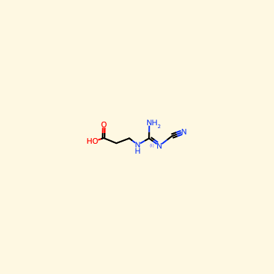 N#C/N=C(\N)NCCC(=O)O